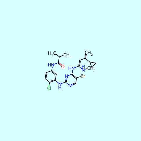 C=C(/C=C(\NC)Nc1nc(Nc2cc(NC(=O)C(C)C)ccc2Cl)ncc1Br)C1CC1